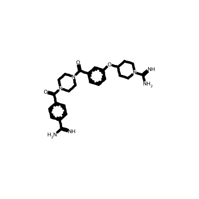 N=C(N)c1ccc(C(=O)N2CCN(C(=O)c3cccc(OC4CCN(C(=N)N)CC4)c3)CC2)cc1